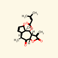 C=C1C(=O)O[C@@H]2C(=O)[C@@H](C)[C@@H]3C=CC(=O)[C@@]3(C)[C@@H](OC(=O)C=C(C)C)[C@H]12